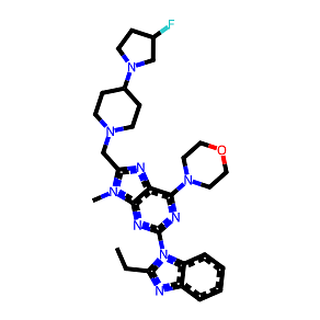 CCc1nc2ccccc2n1-c1nc(N2CCOCC2)c2nc(CN3CCC(N4CCC(F)C4)CC3)n(C)c2n1